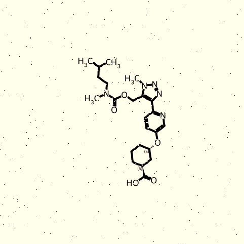 CC(C)CCN(C)C(=O)OCc1c(-c2ccc(O[C@H]3CCC[C@H](C(=O)O)C3)cn2)nnn1C